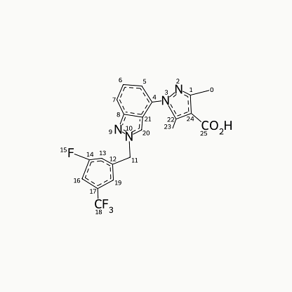 Cc1nn(-c2cccc3nn(Cc4cc(F)cc(C(F)(F)F)c4)cc23)c(C)c1C(=O)O